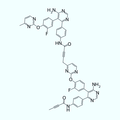 CC#CC(=O)Nc1ccc(-c2ncnc(N)c2-c2ccc(Oc3nccc(CC#CC(=O)Nc4ccc(-c5ncnc(N)c5-c5ccc(Oc6nccc(C)n6)c(F)c5)cc4)n3)c(F)c2)cc1